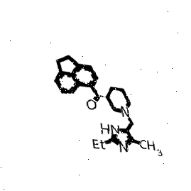 CCc1nc(C)c(CN2CCC[C@@H](C(=O)c3ccc4c5c(cccc35)CC4)C2)[nH]1